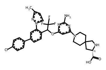 Cc1ccn(-c2cc(-c3ccc(Cl)cc3)ccc2C(Oc2cc(N3CCC4(CC3)CN[C@H](C(=O)O)C4)nc(N)n2)C(F)(F)F)n1